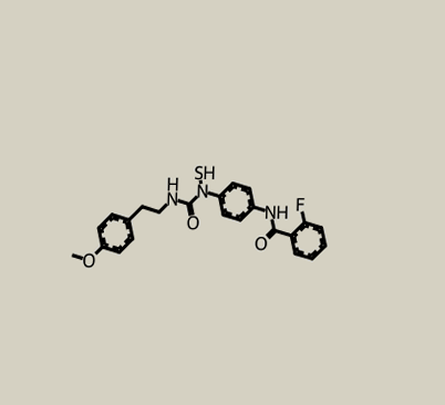 COc1ccc(CCNC(=O)N(S)c2ccc(NC(=O)c3ccccc3F)cc2)cc1